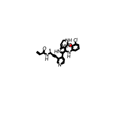 C=CC(=O)N[C@@H](C)C#Cc1cnccc1-c1[nH]c2c(c1Nc1cccc(Cl)c1OC)C(=O)NCC2